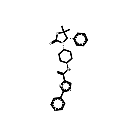 CC1(C)OC(=O)N([C@H]2CC[C@H](NC(=O)c3csc(-c4ccncc4)n3)CC2)[C@H]1c1ccccc1